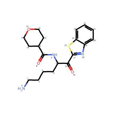 NCCCCC(NC(=O)C1CCOCC1)C(=O)c1nc2ccccc2s1